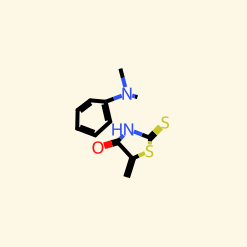 C=C1SC(=S)NC1=O.CN(C)c1ccccc1